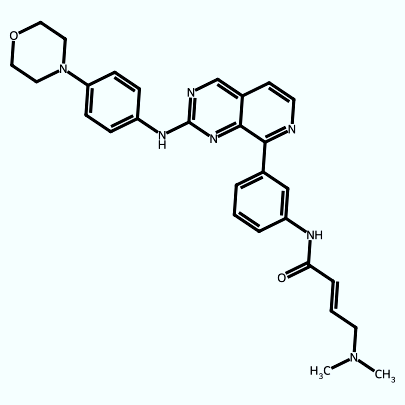 CN(C)CC=CC(=O)Nc1cccc(-c2nccc3cnc(Nc4ccc(N5CCOCC5)cc4)nc23)c1